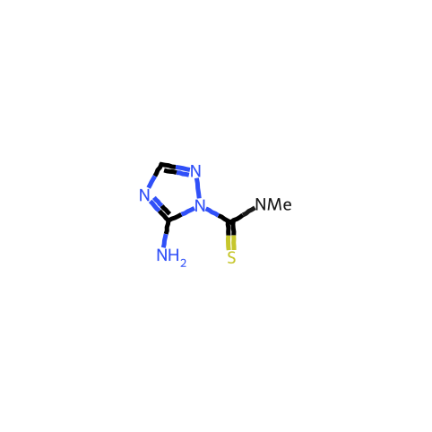 CNC(=S)n1ncnc1N